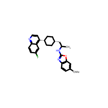 COc1ccc2nc(NC(C)C[C@H]3CC[C@@H](c4ccnc5ccc(F)cc54)CC3)oc2c1